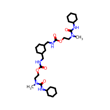 CN(CCOC(=O)NCC1CCCC(CNC(=O)OCCN(C)C(=O)NC2CCCCC2)C1)C(=O)NC1CCCCC1